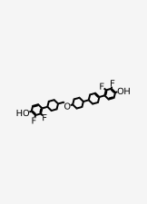 Oc1ccc(C2=CCC(C3CCC(OCC4CCC(c5ccc(O)c(F)c5F)CC4)CC3)CC2)c(F)c1F